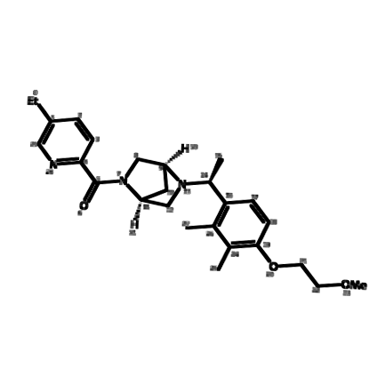 CCc1ccc(C(=O)N2C[C@@H]3C[C@H]2CN3[C@@H](C)c2ccc(OCCOC)c(C)c2C)nc1